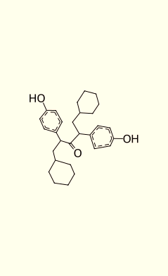 O=C(C(CC1CCCCC1)c1ccc(O)cc1)C(CC1CCCCC1)c1ccc(O)cc1